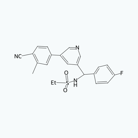 CCS(=O)(=O)NC(c1ccc(F)cc1)c1cncc(-c2ccc(C#N)c(C)c2)c1